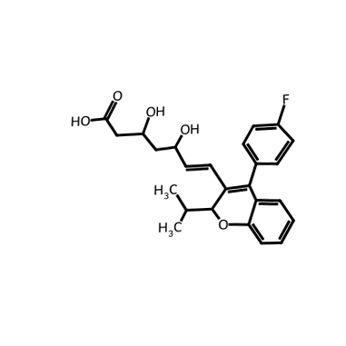 CC(C)C1Oc2ccccc2C(c2ccc(F)cc2)=C1/C=C/C(O)CC(O)CC(=O)O